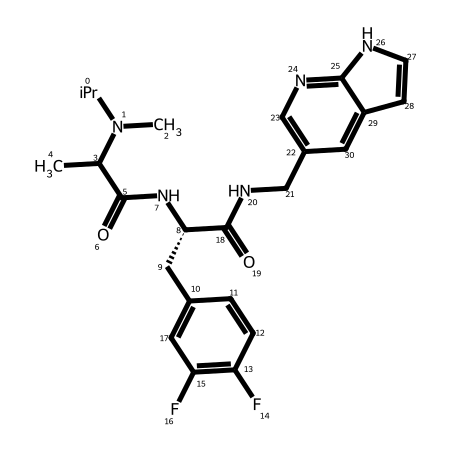 CC(C)N(C)C(C)C(=O)N[C@@H](Cc1ccc(F)c(F)c1)C(=O)NCc1cnc2[nH]ccc2c1